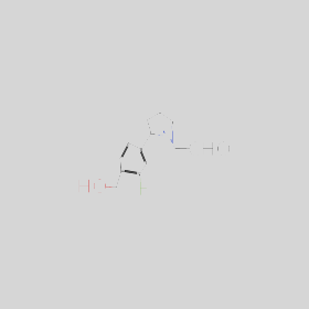 O=CCN1CCCC1c1ccc(CO)c(F)c1